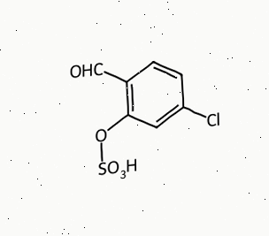 O=Cc1ccc(Cl)cc1OS(=O)(=O)O